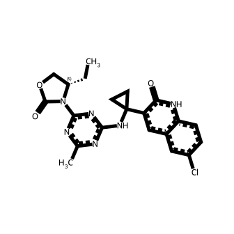 CC[C@H]1COC(=O)N1c1nc(C)nc(NC2(c3cc4cc(Cl)ccc4[nH]c3=O)CC2)n1